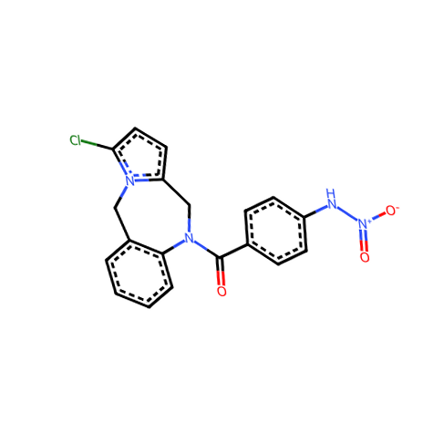 O=C(c1ccc(N[N+](=O)[O-])cc1)N1Cc2ccc(Cl)n2Cc2ccccc21